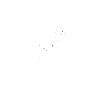 CCc1nc(-c2cccc(C)c2)nc(C(C)C)c1OC(=O)OC